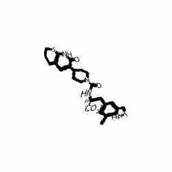 Cc1cc(C[C@@H](NC(=O)N2CCC(c3cc4c([nH]c3=O)SCCC4)CC2)C(=O)O)cc2cn[nH]c12